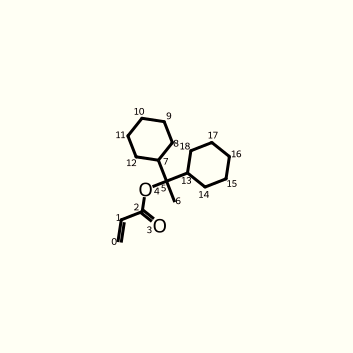 C=CC(=O)OC(C)(C1CCCCC1)C1CCCCC1